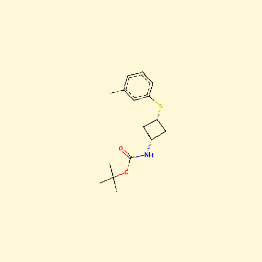 Cc1cccc(S[C@H]2C[C@@H](NC(=O)OC(C)(C)C)C2)c1